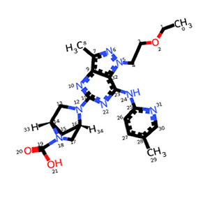 CCOCCn1nc(C)c2nc(N3C[C@@H]4C[C@H]3CN4C(=O)O)nc(Nc3ccc(C)cn3)c21